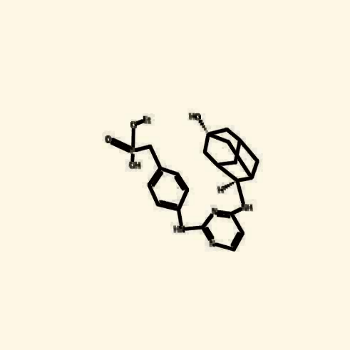 CCOP(=O)(O)Cc1ccc(Nc2nccc(N[C@H]3C4CC5CC3C[C@](O)(C5)C4)n2)cc1